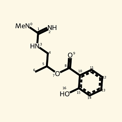 CNC(=N)NCC(C)OC(=O)c1ccccc1O